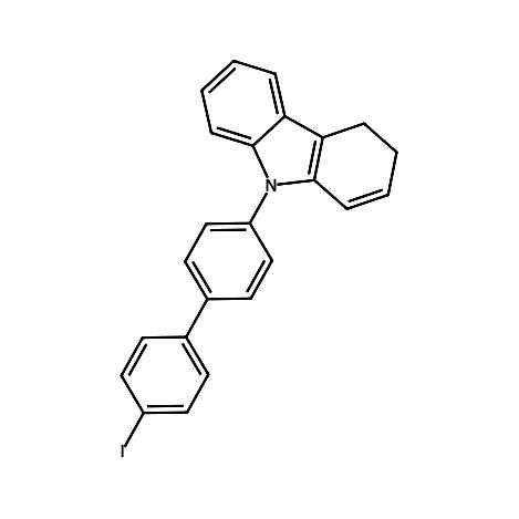 Ic1ccc(-c2ccc(-n3c4c(c5ccccc53)CCC=C4)cc2)cc1